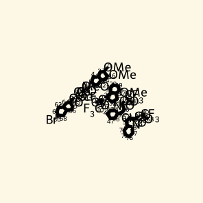 COc1cc2ccc(OS(=O)(=O)C(F)(F)F)cc2cc1OC.COc1ccc(OC)c2cc(OS(=O)(=O)C(F)(F)F)ccc12.Cc1cc(OS(=O)(=O)C(F)(F)F)nc2ccccc12.O=S(=O)(Oc1ccc2cc(Br)ccc2c1)C(F)(F)F.O=S(=O)(Oc1ccc2ccccc2n1)C(F)(F)F